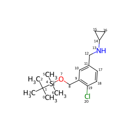 CC(C)(C)[Si](C)(C)OCc1cc(CNC2CC2)ccc1Cl